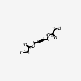 O=C(CCl)OCC#CCOC(=O)CCl